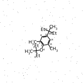 CCC(C)(CC)Oc1c(C)cc(C(C)(CC)CC)cc1C